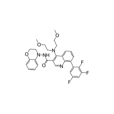 COCCN(CCOC)c1c(C(=O)NN2CCOc3ccccc32)cnc2c(-c3cc(F)cc(F)c3F)cccc12